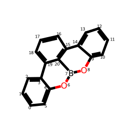 c1ccc2c(c1)OB1Oc3ccccc3-c3cccc-2c31